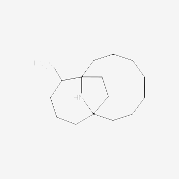 O=C(O)C1CCCC23CCCCCCCC1(CC2)N3